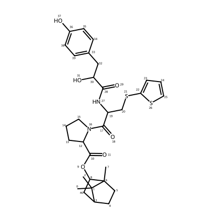 CC1(C)C2CCC1(C)C(OC(=O)C1CCCN1C(=O)C(CSc1cccs1)NC(=O)C(O)Cc1ccc(O)cc1)C2